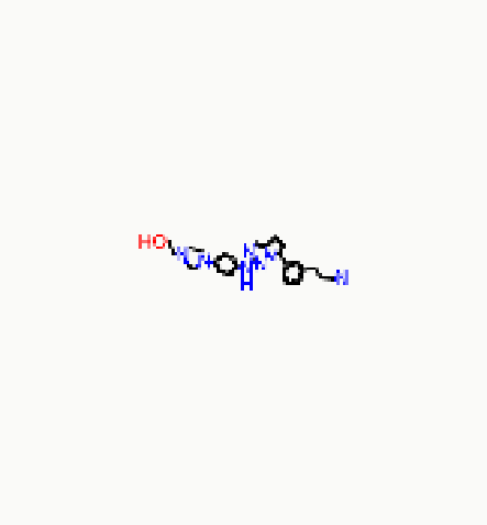 N#CCCc1cccc(-c2ccc3cnc(Nc4ccc(N5CCN(CCO)CC5)cc4)nn23)c1